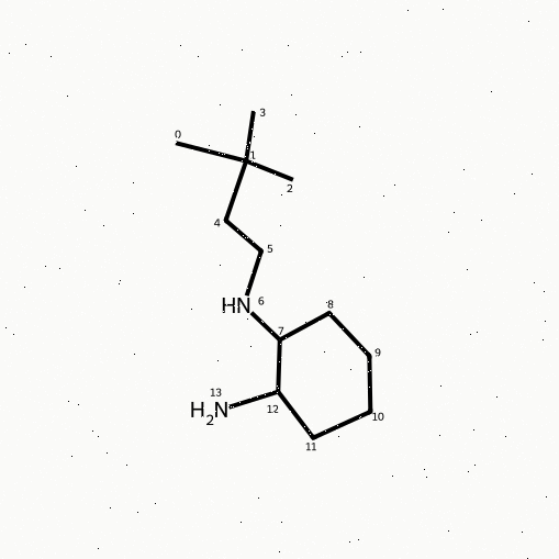 CC(C)(C)CCNC1CCCCC1N